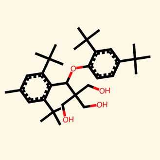 Cc1cc(C(C)(C)C)c(C(Oc2ccc(C(C)(C)C)cc2C(C)(C)C)C(CO)(CO)CO)c(C(C)(C)C)c1